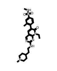 CCn1c(=O)c(-c2ccc(S(=O)(=O)NC)cc2C)cc2cnc(NCCC3CCN(C)CC3)nc21